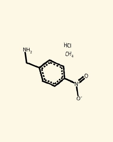 C.Cl.NCc1ccc([N+](=O)[O-])cc1